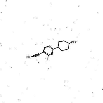 CCCC1CCC(c2ccc(C#CC#N)c(F)c2)CC1